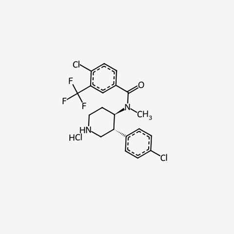 CN(C(=O)c1ccc(Cl)c(C(F)(F)F)c1)[C@@H]1CCNC[C@H]1c1ccc(Cl)cc1.Cl